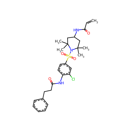 C=CC(=O)NC1CC(C)(C)N(S(=O)(=O)c2ccc(NC(=O)CCc3ccccc3)c(Cl)c2)C(C)(C)C1